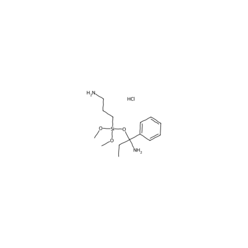 CCC(N)(O[Si](CCCN)(OC)OC)c1ccccc1.Cl